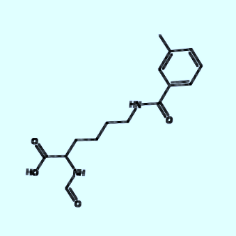 Cc1cccc(C(=O)NCCCCC(NC=O)C(=O)O)c1